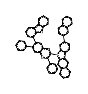 c1ccc(-c2cc3nc(-c4ccccc4)c(-n4c5cc(-c6ccc7ccccc7c6)ccc5c5cc6ccccc6cc54)nc3cc2-c2cccc3c2sc2ccccc23)cc1